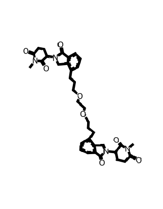 CN1C(=O)CCC(N2Cc3c(CCCOCCOCCCc4cccc5c4CN(C4CCC(=O)N(C)C4=O)C5=O)cccc3C2=O)C1=O